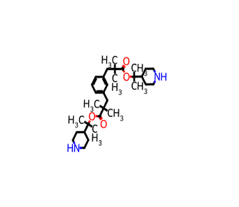 CC(C)(Cc1cccc(CC(C)(C)C(=O)OC(C)(C)C2CCNCC2)c1)C(=O)OC(C)(C)C1CCNCC1